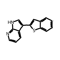 [c]1ccc2sc(-c3c[nH]c4ncccc34)cc2c1